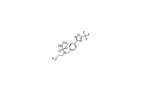 CCCN(Cc1ccc(-c2noc(C(F)(F)F)n2)cc1)S(=O)(=O)NC